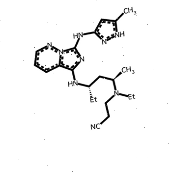 CC[C@@H](C[C@@H](C)N(CC)CCC#N)Nc1nc(Nc2cc(C)[nH]n2)n2ncccc12